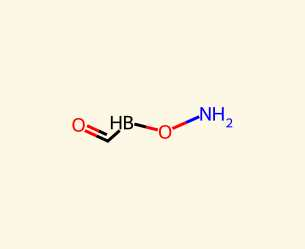 NOBC=O